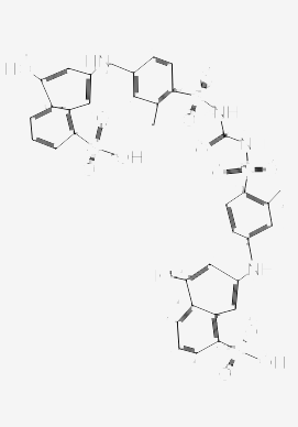 Cc1cc(Nc2cc(O)c3cccc(S(=O)(=O)O)c3c2)ccc1S(=O)(=O)NC(=O)NS(=O)(=O)c1ccc(Nc2cc(O)c3cccc(S(=O)(=O)O)c3c2)cc1C